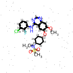 COc1cc2ncnc(Nc3cccc(Cl)c3F)c2cc1O[C@H]1CC[C@@H](N(C)S(C)(=O)=O)CC1